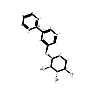 O[C@@H]1[C@@H](O)[C@@H](Oc2cncc(-c3ncccn3)c2)SC[C@H]1O